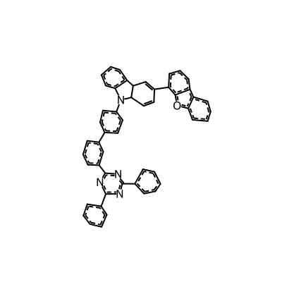 C1=CC2C(C=C1c1cccc3c1oc1ccccc13)c1ccccc1N2c1ccc(-c2cccc(-c3nc(-c4ccccc4)nc(-c4ccccc4)n3)c2)cc1